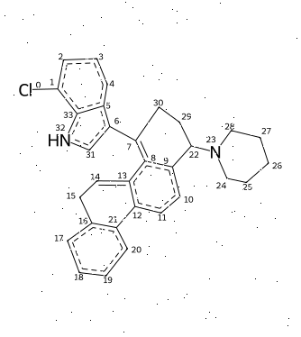 Clc1cccc2c(C3=c4c(ccc5c4=CCc4ccccc4-5)C(N4CCCCC4)CC3)c[nH]c12